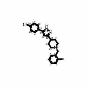 Cc1ccccc1CN1CCC(c2cc(-c3ccc(Cl)cc3)[nH]n2)CC1